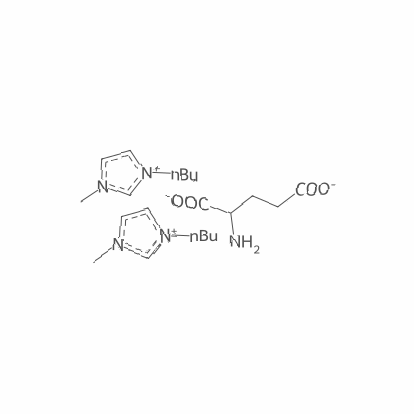 CCCC[n+]1ccn(C)c1.CCCC[n+]1ccn(C)c1.NC(CCC(=O)[O-])C(=O)[O-]